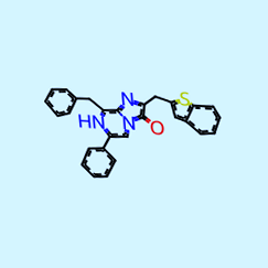 O=c1c(Cc2cc3ccccc3s2)nc2c(Cc3ccccc3)[nH]c(-c3ccccc3)cn1-2